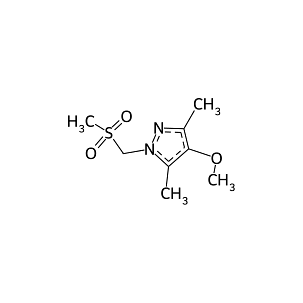 COc1c(C)nn(CS(C)(=O)=O)c1C